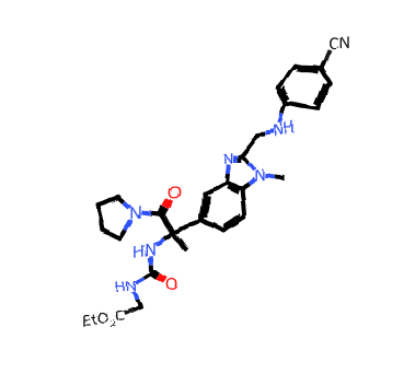 CCOC(=O)CNC(=O)NC(C)(C(=O)N1CCCC1)c1ccc2c(c1)nc(CNc1ccc(C#N)cc1)n2C